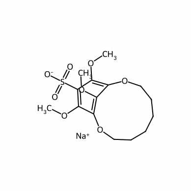 COc1c2c(OC)c(S(=O)(=O)[O-])c(OC)c1OCCCCCCO2.[Na+]